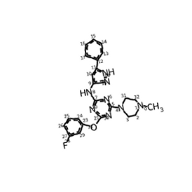 CN1CCN(c2nc(Nc3cc(-c4ccccc4)[nH]n3)nc(Oc3cccc(F)c3)n2)CC1